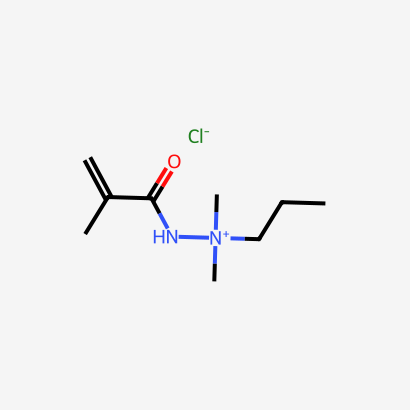 C=C(C)C(=O)N[N+](C)(C)CCC.[Cl-]